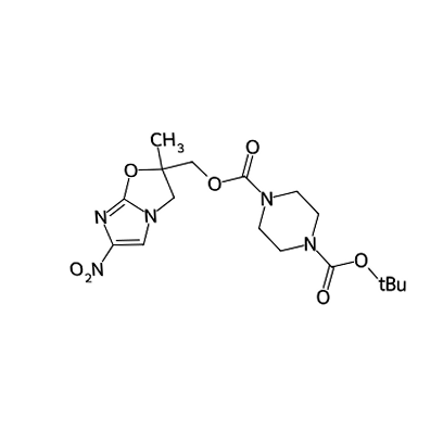 CC(C)(C)OC(=O)N1CCN(C(=O)OCC2(C)Cn3cc([N+](=O)[O-])nc3O2)CC1